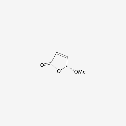 CO[C@H]1C=CC(=O)O1